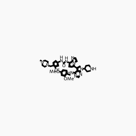 COc1ccc(CNc2ncnc3c2c(-c2ccc(NC(=O)Nc4ccc(CN5CCN(C)CC5)c(C(F)(F)F)c4)c4nccn24)cn3C2CCNCC2)c(OC)c1